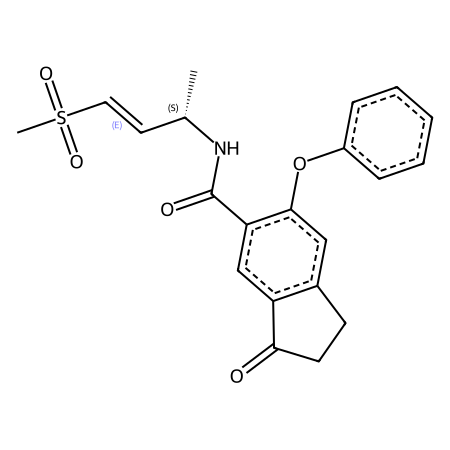 C[C@@H](/C=C/S(C)(=O)=O)NC(=O)c1cc2c(cc1Oc1ccccc1)CCC2=O